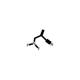 C=C(C#N)CN(F)F